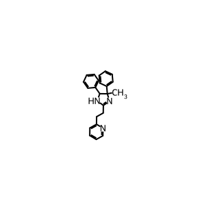 CC1(c2ccccc2)N=C(CCc2ccccn2)NC1c1ccccc1